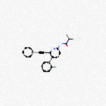 CNC(C)C(=O)Nc1ccc(-c2ccccc2Cl)c(C#Cc2ccccc2)n1